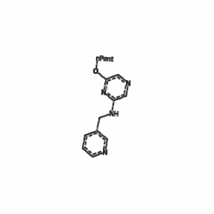 CCCCCOc1cncc(NCc2cccnc2)n1